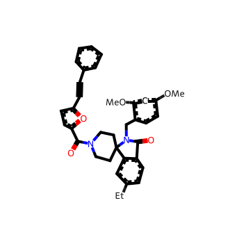 CCc1ccc2c(c1)C1(CCN(C(=O)c3ccc(C#Cc4ccccc4)o3)CC1)N(Cc1ccc(OC)cc1OC)C2=O